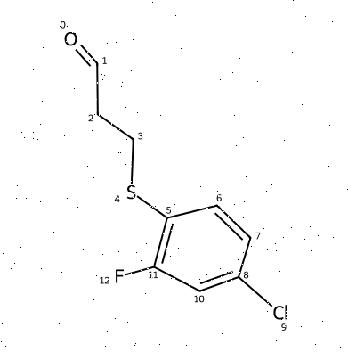 O=CCCSc1ccc(Cl)cc1F